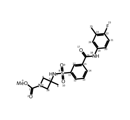 COC(=O)N1CC(C)(NS(=O)(=O)c2cccc(C(=O)Nc3ccc(F)c(C)c3)c2)C1